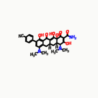 CN(C)c1cc(-c2ccc(C#N)cc2)c(O)c2c1C[C@H]1C[C@H]3[C@H](N(C)C)C(O)=C(C(N)=O)C(=O)[C@@]3(O)C(O)=C1C2=O